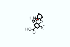 CN(C)c1cc(C(=O)O)cc(S(N)(=O)=O)c1Oc1ccccc1